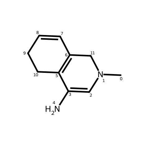 CN1C=C(N)C2=C(C=CCC2)C1